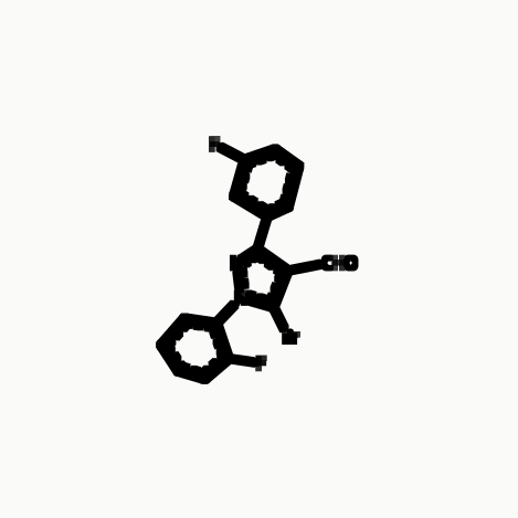 O=Cc1c(-c2cccc(F)c2)nn(-c2ccccc2F)c1Br